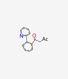 CC(=O)CC(=O)c1ccccc1-c1ccccn1